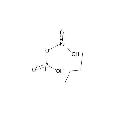 CCCC.O=[PH](O)O[PH](=O)O